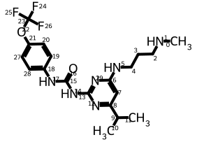 CNCCCNc1cc(C(C)C)nc(NC(=O)Nc2ccc(OC(F)(F)F)cc2)n1